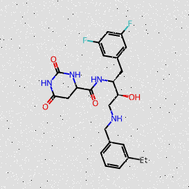 CCc1cccc(CNC[C@H](O)[C@H](Cc2cc(F)cc(F)c2)NC(=O)C2CC(=O)NC(=O)N2)c1